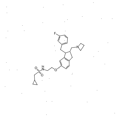 O=S(=O)(CC1CC1)NCCOc1ccc2c(c1)C(Cc1cccc(F)c1)C(CN1CCC1)C2